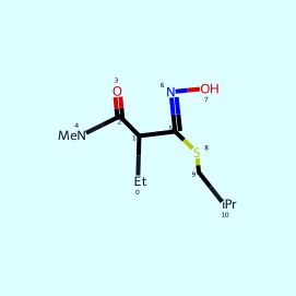 CCC(C(=O)NC)/C(=N/O)SCC(C)C